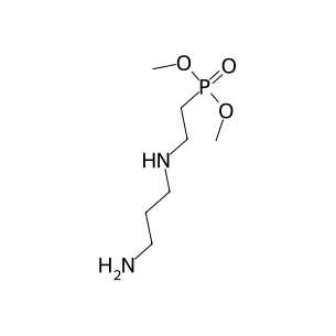 COP(=O)(CCNCCCN)OC